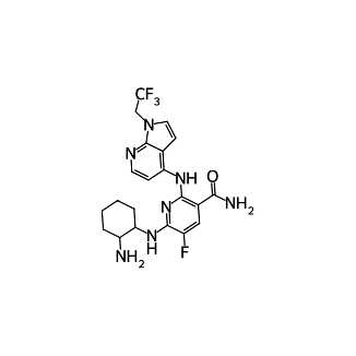 NC(=O)c1cc(F)c(NC2CCCCC2N)nc1Nc1ccnc2c1ccn2CC(F)(F)F